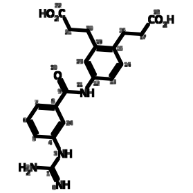 N=C(N)Nc1cccc(C(=O)Nc2ccc(CCC(=O)O)c(CCC(=O)O)c2)c1